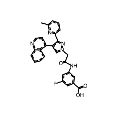 Cc1cccc(-c2nn(CC(=O)Nc3cc(F)cc(C(=O)O)c3)cc2-c2ccnc3ccccc23)n1